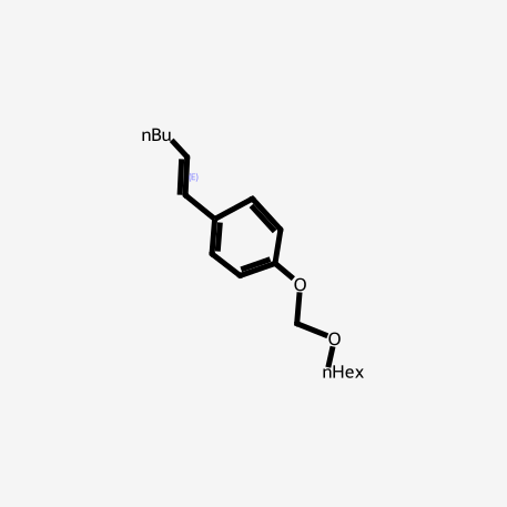 [CH2]CCC/C=C/c1ccc(OCOCCCCCC)cc1